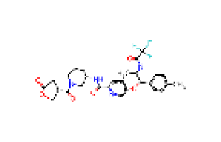 Cc1ccc(C(Oc2ccc(C(=O)N[C@H]3CCCN(C(=O)[C@@H]4COC(=O)C4)C3)nc2)C(C)NC(=O)C(F)(F)F)cc1